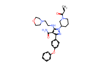 C=CC(=O)N1CCCC(n2nc(-c3ccc(Oc4ccccc4)cc3)c(C(N)=O)c2NCCN2CCOCC2)C1